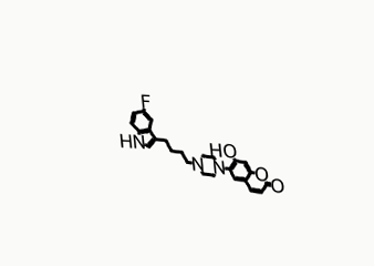 O=c1ccc2cc(N3CCN(CCCCc4c[nH]c5ccc(F)cc45)CC3)c(O)cc2o1